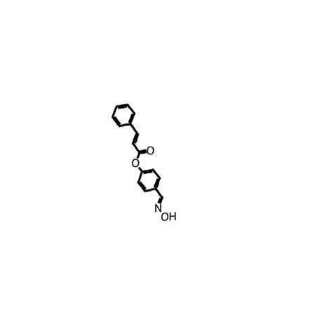 O=C(C=Cc1ccccc1)Oc1ccc(/C=N/O)cc1